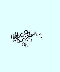 Br.Br.CNC.NCCCNCC(O)O